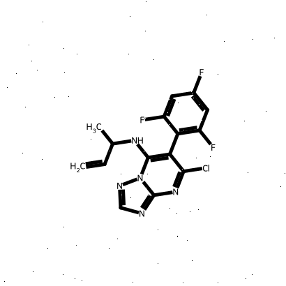 C=CC(C)Nc1c(-c2c(F)cc(F)cc2F)c(Cl)nc2ncnn12